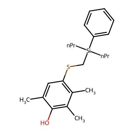 CCC[Si](CCC)(CSc1cc(C)c(O)c(C)c1C)c1ccccc1